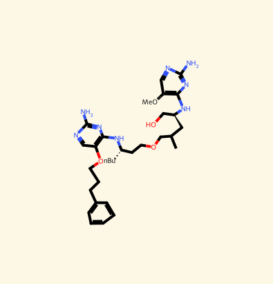 CCCC[C@@H](CCOCC(C)C[C@@H](CO)Nc1nc(N)ncc1OC)Nc1nc(N)ncc1OCCCc1ccccc1